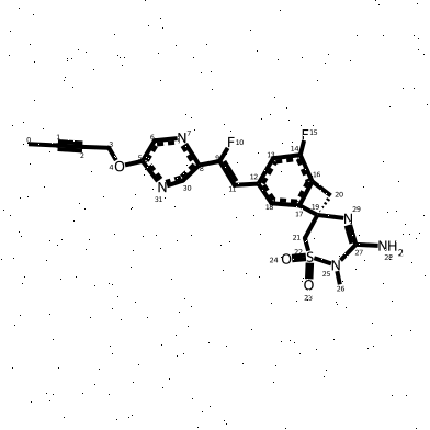 CC#CCOc1cnc(/C(F)=C/c2cc(F)c3c(c2)[C@]2(C3)CS(=O)(=O)N(C)C(N)=N2)cn1